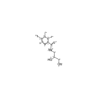 O=C(NCC(O)CO)c1[c]cc(I)c(I)c1I